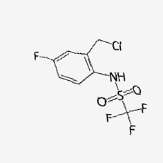 O=S(=O)(Nc1ccc(F)cc1CCl)C(F)(F)F